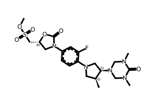 COS(=O)(=O)C[C@H]1CN(c2ccc(N3C[C@@H](N4CN(C)C(=O)N(C)C4)[C@@H](C)C3)c(F)c2)C(=O)O1